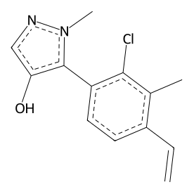 C=Cc1ccc(-c2c(O)cnn2C)c(Cl)c1C